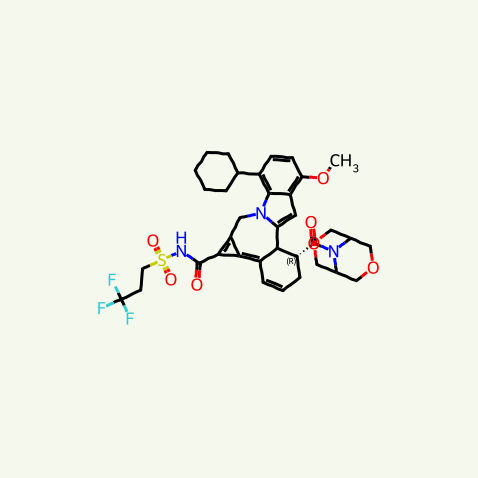 COc1ccc(C2CCCCC2)c2c1cc1n2CC2=C(C(=O)NS(=O)(=O)CCC(F)(F)F)C2=C2C=CC[C@@H](C(=O)N3C4COCC3COC4)C21